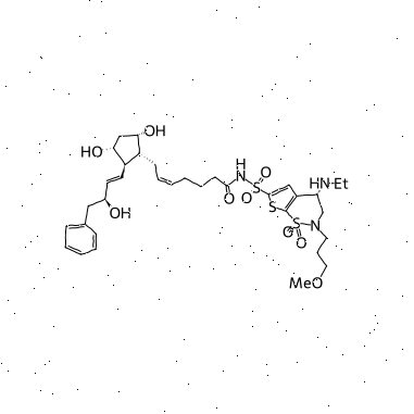 CCN[C@@H]1CN(CCCOC)S(=O)(=O)c2sc(S(=O)(=O)NC(=O)CCC/C=C\C[C@@H]3[C@@H](/C=C/[C@@H](O)Cc4ccccc4)[C@H](O)C[C@@H]3O)cc21